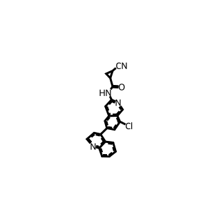 N#CC1CC1C(=O)Nc1cc2cc(-c3ccnc4ccccc34)cc(Cl)c2cn1